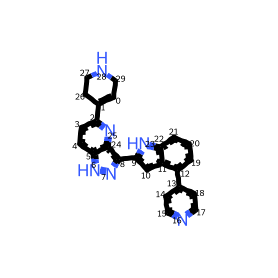 C1=C(c2ccc3[nH]nc(-c4cc5c(-c6ccncc6)cccc5[nH]4)c3n2)CCNC1